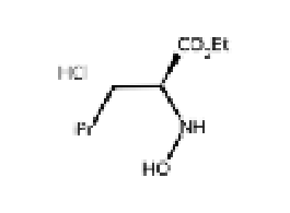 CCOC(=O)[C@H](CC(C)C)NO.Cl